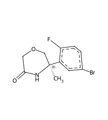 C[C@@]1(c2cc(Br)ccc2F)COCC(=O)N1